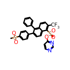 CS(=O)(=O)c1ccc(-c2ccc3c(S(=O)(=O)Oc4ccncn4)c(C(F)(F)F)ccc3c2-c2ccccc2)cc1